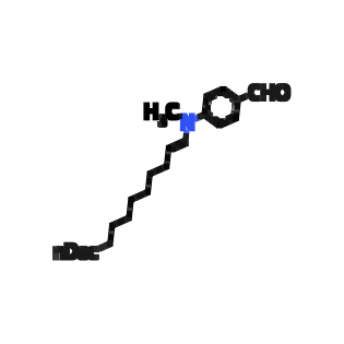 CCCCCCCCCCCCCCCCCC=CN(C)c1ccc(C=O)cc1